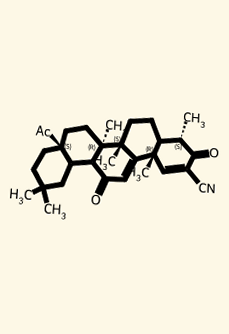 CC(=O)[C@]12CCC(C)(C)CC1C1C(=O)C=C3[C@@]4(C)C=C(C#N)C(=O)[C@@H](C)C4CC[C@@]3(C)[C@]1(C)CC2